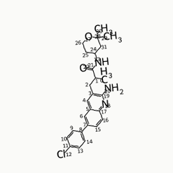 CC(Cc1cc2cc(-c3ccc(Cl)cc3)ccc2nc1N)C(=O)NC1CCOC(C)(C)C1